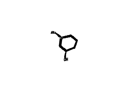 CC[C@H](C)N1CCC[C@@H](O)C1